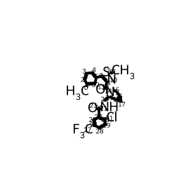 Cc1cccc(-c2sc(C)nc2C(=O)N2CC3CC3C2CNC(=O)c2cc(C(F)(F)F)ccc2Cl)c1